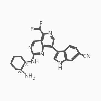 N#Cc1ccc2c(-c3cnc(C(F)F)c4cnc(N[C@@H]5CCCC[C@@H]5N)nc34)c[nH]c2c1